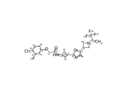 CC(N1CC(c2nnc(C34CC(NC(=O)COc5ccc(Cl)c(F)c5)(C3)C4)o2)C1)C(F)(F)F